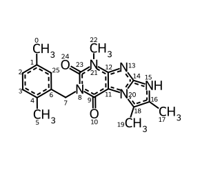 Cc1ccc(C)c(Cn2c(=O)c3c(nc4[nH]c(C)c(C)n43)n(C)c2=O)c1